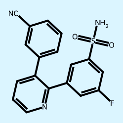 N#Cc1cccc(-c2cccnc2-c2cc(F)cc(S(N)(=O)=O)c2)c1